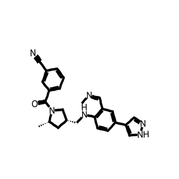 C/N=C\c1cc(-c2cn[nH]c2)ccc1NC[C@@H]1C[C@H](C)N(C(=O)c2cccc(C#N)c2)C1